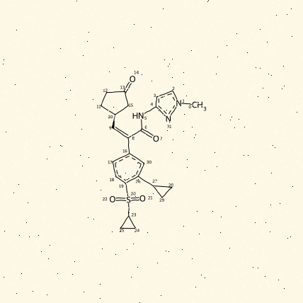 Cn1ccc(NC(=O)/C(=C\[C@H]2CCC(=O)C2)c2ccc(S(=O)(=O)C3CC3)c(C3CC3)c2)n1